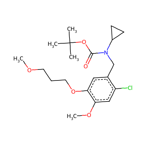 COCCCOc1cc(CN(C(=O)OC(C)(C)C)C2CC2)c(Cl)cc1OC